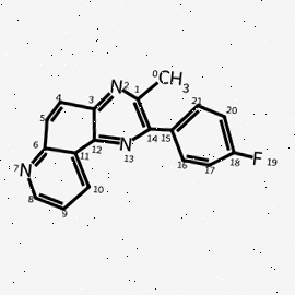 Cc1nc2ccc3ncccc3c2nc1-c1ccc(F)cc1